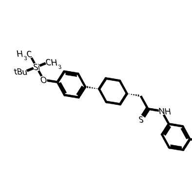 CC(C)(C)[Si](C)(C)Oc1ccc([C@H]2CC[C@@H](CC(=S)Nc3cccc(Cl)c3)CC2)cc1